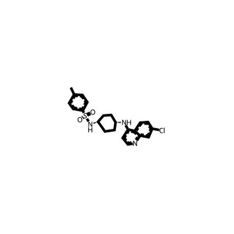 Cc1ccc(S(=O)(=O)N[C@H]2CC[C@@H](Nc3ccnc4cc(Cl)ccc34)CC2)cc1